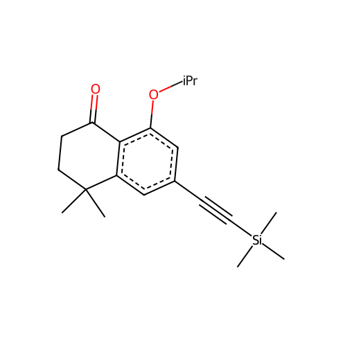 CC(C)Oc1cc(C#C[Si](C)(C)C)cc2c1C(=O)CCC2(C)C